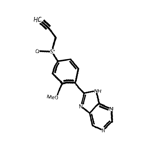 C#CC[S+]([O-])c1ccc(-c2nc3cncnc3[nH]2)c(OC)c1